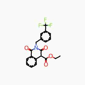 CCOC(=O)C1C(=O)N(Cc2cccc(C(F)(F)F)c2)C(=O)c2ccccc21